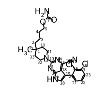 CC1(CCCCOC(N)=O)CCN(c2nc(C#N)c3c(-c4cccc(Cl)c4Cl)c[nH]c3n2)CC1